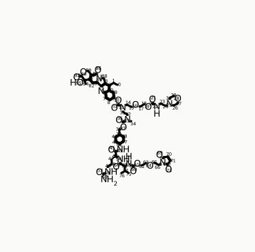 CCc1c2c(nc3ccc(OC(=O)N(CCOCCOC(=O)NCCN4CCOCC4)CCN(C)C(=O)OCc4ccc(NC(=O)[C@H](CCCNC(N)=O)NC(=O)[C@@H](NC(=O)OCCOCCN5C(=O)C=CC5=O)C(C)C)cc4)cc13)-c1cc3c(c(=O)n1C2)COC(=O)C3(C)O